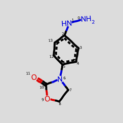 NNc1ccc(N2CCOC2=O)cc1